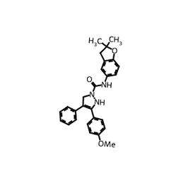 COc1ccc(C2=C(c3ccccc3)CN(C(=O)Nc3ccc4c(c3)CC(C)(C)O4)N2)cc1